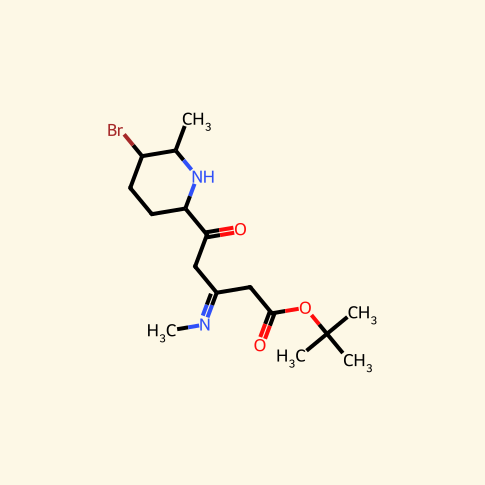 C/N=C(/CC(=O)OC(C)(C)C)CC(=O)C1CCC(Br)C(C)N1